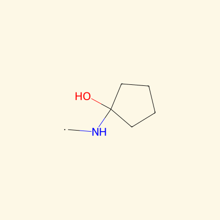 [CH2]NC1(O)CCCC1